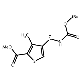 COC(=O)c1scc(NNC(=O)OC(C)(C)C)c1C